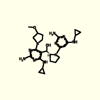 COC1CCN(c2nc(N)nc(NC3CC3)c2C(O)[C@H]2CCCN2c2cc(NC3CC3)nc(N)n2)C1